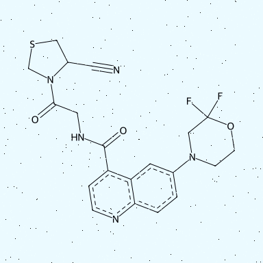 N#CC1CSCN1C(=O)CNC(=O)c1ccnc2ccc(N3CCOC(F)(F)C3)cc12